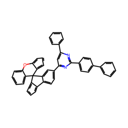 c1ccc(-c2ccc(-c3nc(-c4ccccc4)cc(-c4ccc5c(c4)C4(c6ccccc6Oc6ccccc64)c4ccccc4-5)n3)cc2)cc1